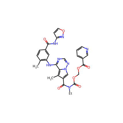 CCN(C(=O)OCOC(=O)c1cccnc1)C(=O)c1cn2ncnc(Nc3cc(C(=O)Nc4ccon4)ccc3C)c2c1C